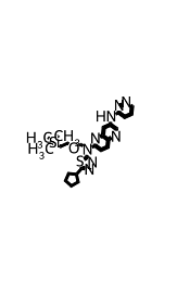 C[Si](C)(C)CCOCN(c1ccc2ncc(Nc3cccnn3)cc2n1)c1nnc(C2CCCC2)s1